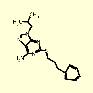 CC(C)Cn1cnc2c(N)nc(SCCCc3ccccc3)nc21